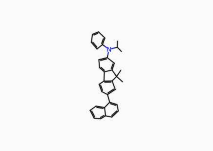 CC(C)N(c1ccccc1)c1ccc2c(c1)C(C)(C)c1cc(-c3cccc4ccccc34)ccc1-2